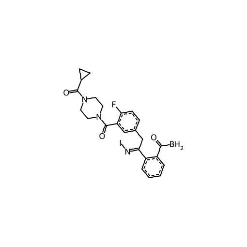 BC(=O)c1ccccc1C(Cc1ccc(F)c(C(=O)N2CCN(C(=O)C3CC3)CC2)c1)=NI